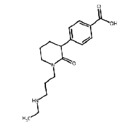 CCNCCCN1CCCC(c2ccc(C(=O)O)cc2)C1=O